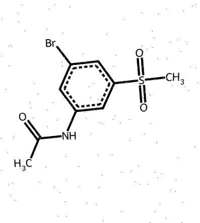 CC(=O)Nc1cc(Br)cc(S(C)(=O)=O)c1